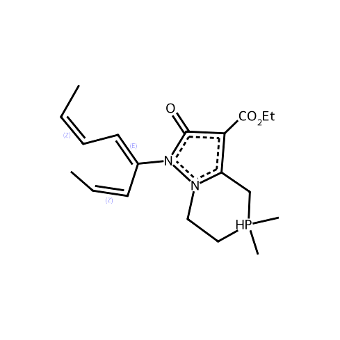 C\C=C/C=C(\C=C/C)n1c(=O)c(C(=O)OCC)c2n1CC[PH](C)(C)C2